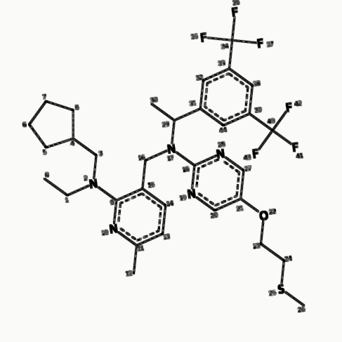 CCN(CC1CCCC1)c1nc(C)ccc1CN(c1ncc(OCCSC)cn1)C(C)c1cc(C(F)(F)F)cc(C(F)(F)F)c1